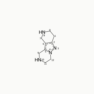 C1Cc2nn3c(c2CN1)CNCC3